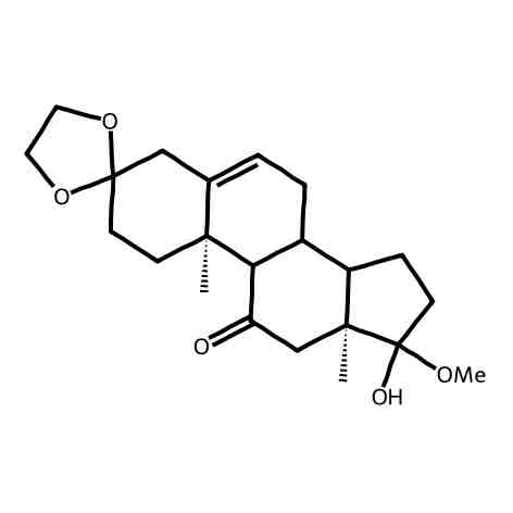 COC1(O)CCC2C3CC=C4CC5(CC[C@]4(C)C3C(=O)C[C@@]21C)OCCO5